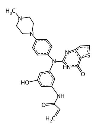 C=CC(=O)Nc1cc(O)cc(N(c2ccc(N3CCN(C)CC3)cc2)c2nc3ccsc3c(=O)[nH]2)c1